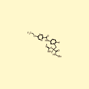 C/N=C(/N)S[C@](C)(Cc1cc(NC(=O)c2cnc(OCC(F)(F)F)cn2)ccc1F)C(=O)NC(C)(C)C